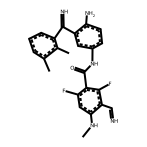 CNc1cc(F)c(C(=O)Nc2ccc(N)c(C(=N)c3cccc(C)c3C)c2)c(F)c1C=N